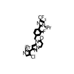 CC(C)n1cc(C(F)(F)F)nc1-c1ccc(CN2C(=O)CCn3nc(-c4c(Cl)cnn4C(C)C)cc32)cc1F